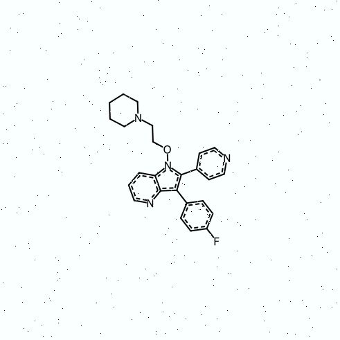 Fc1ccc(-c2c(-c3ccncc3)n(OCCN3CCCCC3)c3cccnc23)cc1